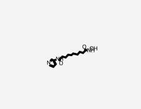 O=C(CCCCCCCCC(=O)Nc1cccnc1)NO